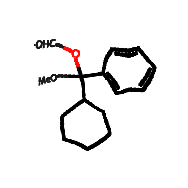 COC(O[C]=O)(c1ccccc1)C1CCCCC1